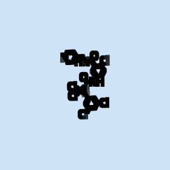 O=C(NCc1ccncc1)c1cc(NC(=O)[C@@H]2[C@@H](c3cc(Cl)cc(Cl)c3)C2(Cl)Cl)ccc1Cl